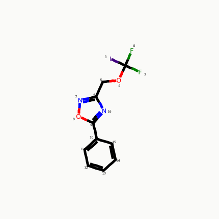 FC(F)(I)OCc1noc(-c2ccccc2)n1